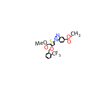 C=COC(=O)c1ccc2c(c1)ncn2-c1cc(OCc2ccccc2C(F)(F)F)c(C(=O)OC)s1